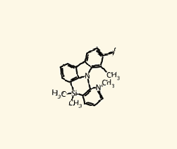 Cc1c(I)ccc2c3cccc4c3n(c12)-c1c(ccc[n+]1C)[Si]4(C)C